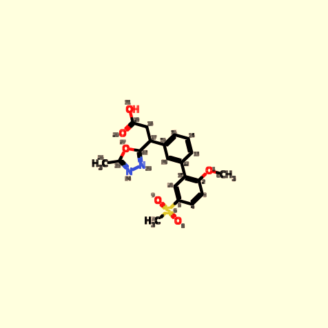 COc1ccc(S(C)(=O)=O)cc1-c1cccc(C(CC(=O)O)c2nnc(C)o2)c1